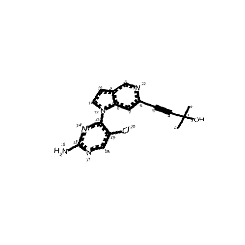 CC(C)(O)C#Cc1cc2c(ccn2-c2nc(N)ncc2Cl)cn1